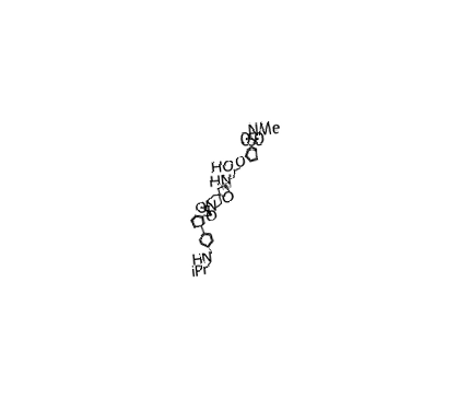 CNS(=O)(=O)c1cccc(OCC(O)CN[C@@H]2COC3(CCN(S(=O)(=O)c4cccc(-c5ccc(CNCC(C)C)cc5)c4)CC3)C2)c1